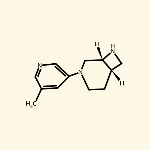 Cc1cncc(N2CC[C@H]3CN[C@H]3C2)c1